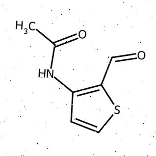 CC(=O)Nc1ccsc1[C]=O